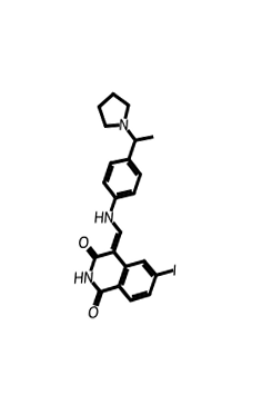 CC(c1ccc(N/C=C2\C(=O)NC(=O)c3ccc(I)cc32)cc1)N1CCCC1